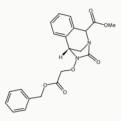 COC(=O)C1c2ccccc2[C@@H]2CN1C(=O)N2OCC(=O)OCc1ccccc1